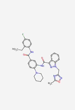 Cc1nc(Cn2nc(C(=O)Nc3cc(C(=O)Nc4ccc(F)cc4CC(=O)O)ccc3N3CCCCC3)c3ccccc32)no1